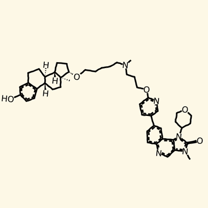 CN(CCCCCO[C@H]1CC[C@H]2[C@@H]3CCc4cc(O)ccc4[C@H]3CC[C@]12C)CCCOc1ccc(-c2ccc3ncc4c(c3c2)n(C2CCOCC2)c(=O)n4C)cn1